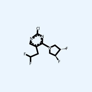 FC(F)Cc1cnc(Cl)nc1N1C[C@H](F)[C@@H](F)C1